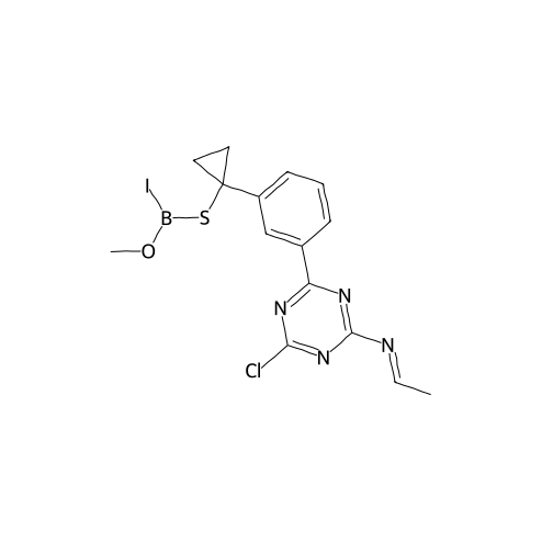 C/C=N/c1nc(Cl)nc(-c2cccc(C3(SB(I)OC)CC3)c2)n1